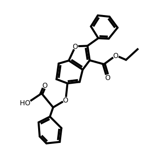 CCOC(=O)c1c(-c2ccccc2)oc2ccc(OC(C(=O)O)c3ccccc3)cc12